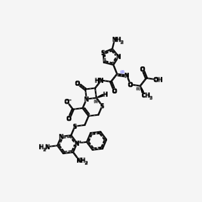 C[C@@H](O/N=C(\C(=O)NC1C(=O)N2C(C(=O)[O-])=C(CSc3nc(N)cc(N)[n+]3-c3ccccc3)CS[C@@H]12)c1csc(N)n1)C(=O)O